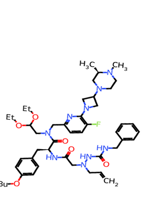 C=CCN(CC(=O)N[C@@H](Cc1ccc(OC(C)(C)C)cc1)C(=O)N(Cc1ccc(F)c(N2CC(N3CCN(C)[C@H](C)C3)C2)n1)CC(OCC)OCC)NC(=O)NCc1ccccc1